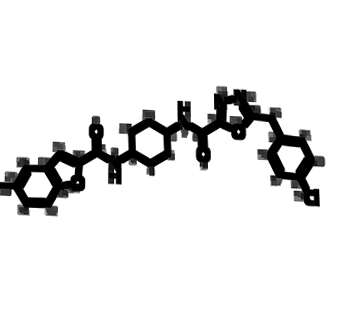 O=C(NC1CCC(NC(=O)c2nnc(Cc3ccc(Cl)cc3)o2)CC1)c1cc2cc(Cl)ccc2o1